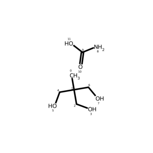 CC(CO)(CO)CO.NC(=O)O